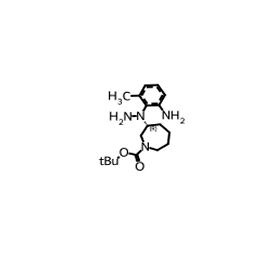 Cc1cccc(N)c1N(N)[C@@H]1CCCCN(C(=O)OC(C)(C)C)C1